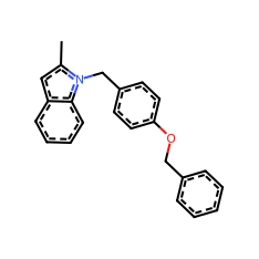 Cc1cc2ccccc2n1Cc1ccc(OCc2ccccc2)cc1